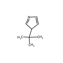 CC(C)(C)C1C=CN=C1